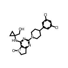 [O-][S+]1CCc2nc(N3CCC(c4cc(Cl)cc(Cl)c4)CC3)nc(NC3(CO)CC3)c21